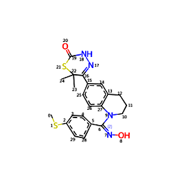 CSc1ccc(/C(=N/O)N2CCCc3cc(C4=NNC(=O)SC4(C)C)ccc32)cc1